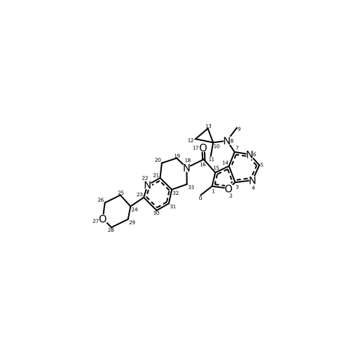 Cc1oc2ncnc(N(C)C3(C)CC3)c2c1C(=O)N1CCc2nc(C3CCOCC3)ccc2C1